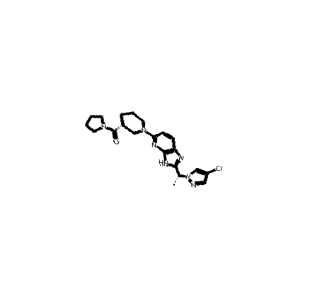 C[C@H](c1nc2ccc(N3CCC[C@@H](C(=O)N4CCCC4)C3)nc2[nH]1)n1cc(Cl)cn1